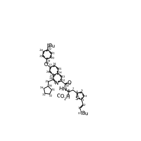 CC(C)(C)C=Cc1ccc(C[C@H](NC(=O)c2cc3ccc(Oc4ccc(C(C)(C)C)cc4)cc3c(CC3CCCC3)n2)C(=O)O)s1